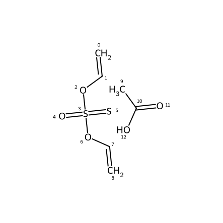 C=COS(=O)(=S)OC=C.CC(=O)O